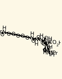 CCCC(=O)NCCOCCOCCOCCOCCOCCNC(=O)CNC(=O)CNC(=O)[C@@H](NC(=O)[C@H](CCC(=O)O)NCC1CCCN1C(=O)[C@H](CC(C)C)NC(C)C)[C@@H](C)O